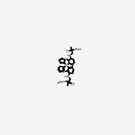 CCCCCC(C)(CC)CNc1ccc(F)[c]([Ti]([C]2=CC=CC2)([C]2=CC=CC2)[c]2c(F)ccc(NCC(C)(CC)CCCCC)c2F)c1F